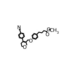 COC(=O)CCCc1ccc(OCC2=C(c3ccc(C#N)cc3)CCOC2)cc1